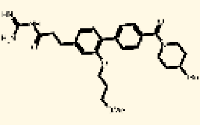 COCCCOc1cc(CCC(=O)NC(=N)N)ccc1-c1ccc(C(=O)N2CCC(C(C)(C)C)CC2)cc1